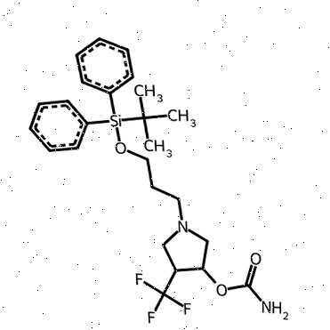 CC(C)(C)[Si](OCCCN1CC(OC(N)=O)C(C(F)(F)F)C1)(c1ccccc1)c1ccccc1